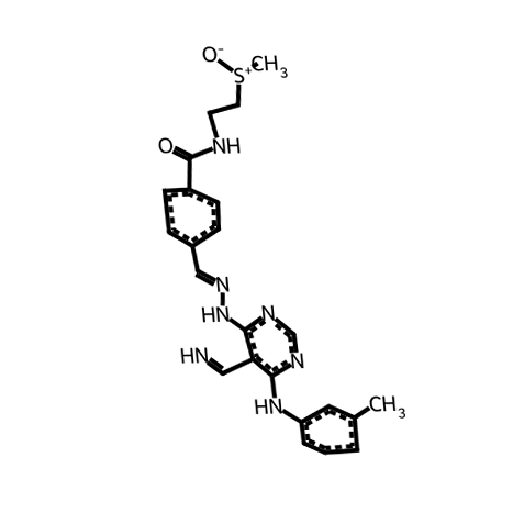 Cc1cccc(Nc2ncnc(N/N=C/c3ccc(C(=O)NCC[S+](C)[O-])cc3)c2C=N)c1